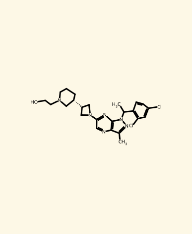 Cc1nn(C(C)c2ccc(Cl)cc2Cl)c2nc(N3CC([C@H]4CCCN(CCO)C4)C3)cnc12